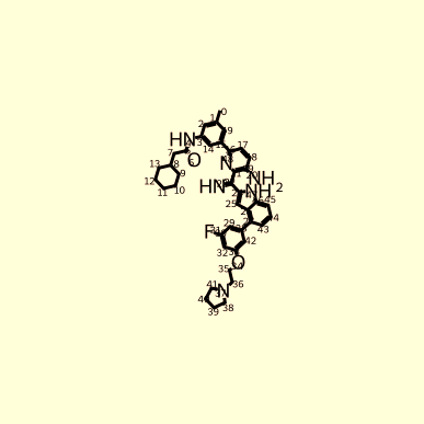 Cc1cc(NC(=O)CC2CCCCC2)cc(-c2ccc(N)c(C(=N)c3cc4c(-c5cc(F)cc(OCCN6CCCC6)c5)cccc4[nH]3)n2)c1